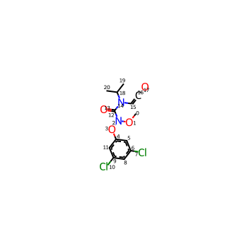 CON(Oc1cc(Cl)cc(Cl)c1)C(=O)N(C=C=O)C(C)C